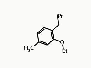 CCOc1cc(C)ccc1CC(C)C